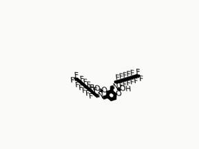 O=C(O)N(CC1CCCC(CN(CC(F)(F)C(F)(F)C(F)(F)C(F)(F)C(F)(F)C(F)F)C(=O)O)C1)CC(F)(F)C(F)(F)C(F)(F)C(F)(F)C(F)(F)C(F)F